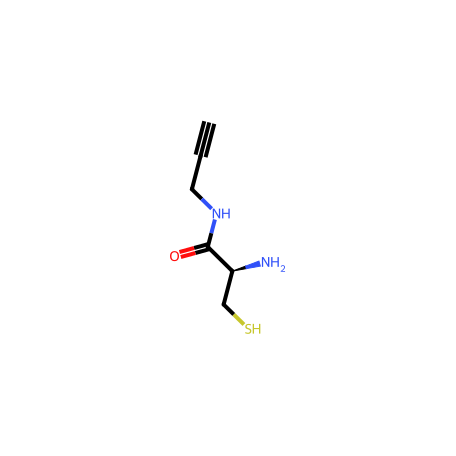 C#CCNC(=O)[C@@H](N)CS